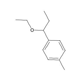 CCOC(CC)c1ccc(C)cc1